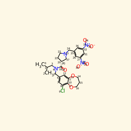 CC(C)CN(Cc1cc(Cl)c2c(c1)OCCCO2)C(=O)[C@@H]1CCN(Cc2cc([N+](=O)[O-])cc([N+](=O)[O-])c2)C1